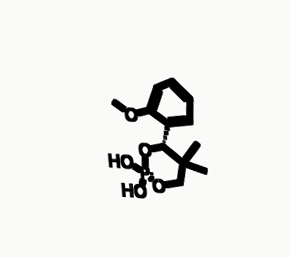 COc1ccccc1[C@H]1O[P](O)(O)OCC1(C)C